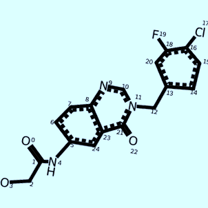 O=C(CO)Nc1ccc2ncn(Cc3ccc(Cl)c(F)c3)c(=O)c2c1